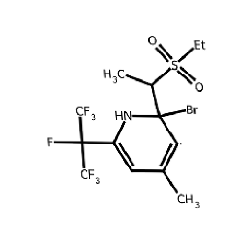 CCS(=O)(=O)C(C)C1(Br)[C]=C(C)C=C(C(F)(C(F)(F)F)C(F)(F)F)N1